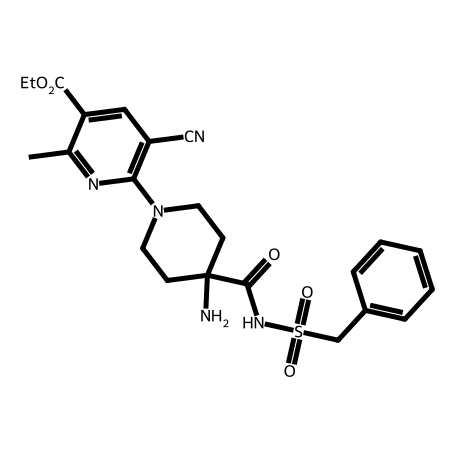 CCOC(=O)c1cc(C#N)c(N2CCC(N)(C(=O)NS(=O)(=O)Cc3ccccc3)CC2)nc1C